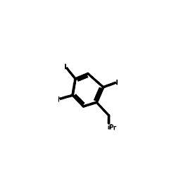 CC(C)Cc1cc(I)c(I)cc1I